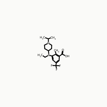 CCN(c1cc(C(F)(F)F)cc(C(=O)O)c1C)C1CCN(C(C)C)CC1